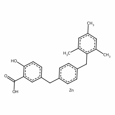 Cc1cc(C)c(Cc2ccc(Cc3ccc(O)c(C(=O)O)c3)cc2)c(C)c1.[Zn]